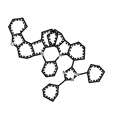 c1ccc(-c2nc(-c3cccc4c5ccccc5n(-c5ccccc5-n5c6ccccc6c6c7c(ccc65)oc5ccccc57)c34)n(-c3ccccc3)n2)cc1